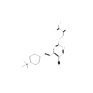 C=C(CNc1ncc(C#N)c(/C=C/[C@H]2CC[C@H](C(F)(F)F)CC2)n1)C(=O)O